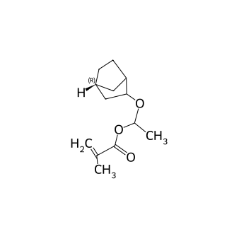 C=C(C)C(=O)OC(C)OC1C[C@@H]2CCC1C2